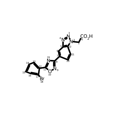 O=C(O)Cn1nnc2cc(-c3noc(-c4ccccc4Br)n3)ccc21